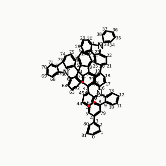 c1ccc(-c2cccc(-c3ccccc3N(c3ccc(-c4ccc5c(c4)c4ccccc4n5-c4ccccc4)cc3)c3ccccc3-c3ccc4c(c3)C3(c5ccccc5-4)c4ccccc4-n4c5ccccc5c5cccc3c54)c2)cc1